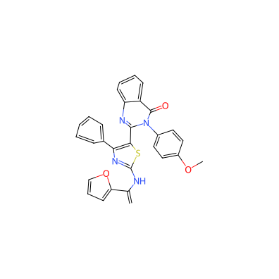 C=C(Nc1nc(-c2ccccc2)c(-c2nc3ccccc3c(=O)n2-c2ccc(OC)cc2)s1)c1ccco1